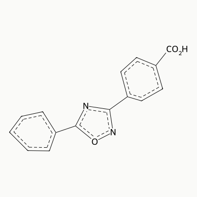 O=C(O)c1ccc(-c2noc(-c3ccccc3)n2)cc1